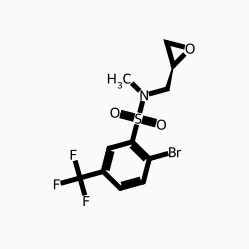 CN(C[C@H]1CO1)S(=O)(=O)c1cc(C(F)(F)F)ccc1Br